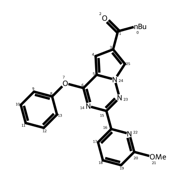 CCCCC(=O)c1cc2c(Oc3ccccc3)nc(-c3cccc(OC)n3)nn2c1